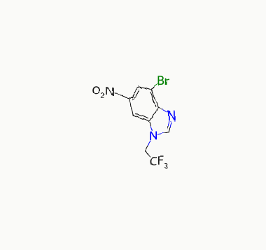 O=[N+]([O-])c1cc(Br)c2ncn(CC(F)(F)F)c2c1